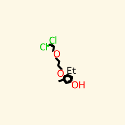 CCc1cc(O)cc(C)c1OCCCCOCC=C(Cl)Cl